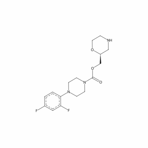 O=C(OC[C@@H]1CNCCO1)N1CCN(c2ccc(F)cc2F)CC1